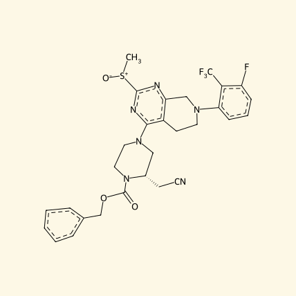 C[S+]([O-])c1nc2c(c(N3CCN(C(=O)OCc4ccccc4)[C@@H](CC#N)C3)n1)CCN(c1cccc(F)c1C(F)(F)F)C2